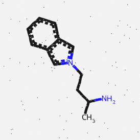 CC(N)CCn1cc2ccccc2c1